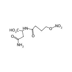 NC(=O)CC(NC(=O)CCCO[N+](=O)[O-])C(=O)O